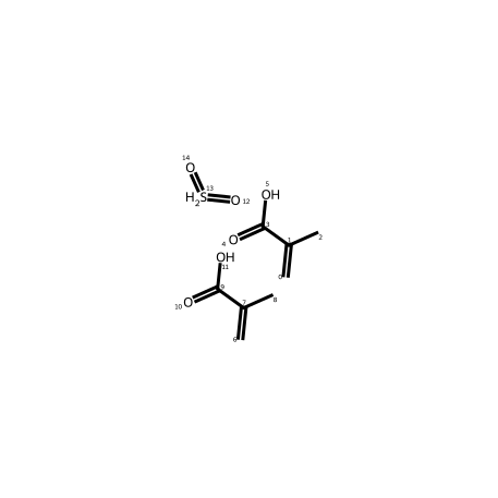 C=C(C)C(=O)O.C=C(C)C(=O)O.O=[SH2]=O